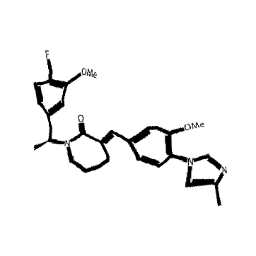 COc1cc([C@H](C)N2CCC/C(=C\c3ccc(-n4cnc(C)c4)c(OC)c3)C2=O)ccc1F